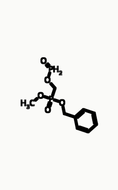 COP(=O)(CO[PH2]=O)OCc1ccccc1